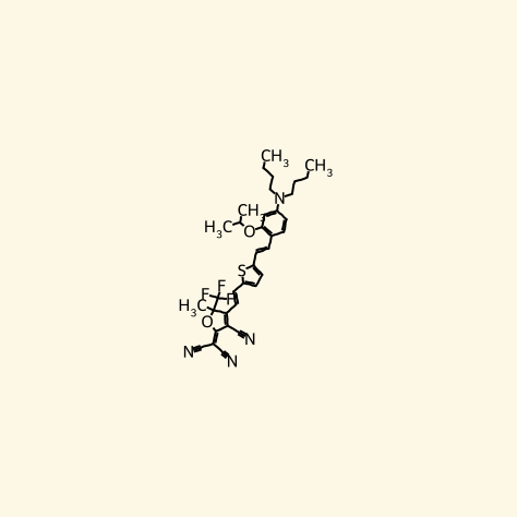 CCCCN(CCCC)c1ccc(/C=C/c2ccc(/C=C/C3=C(C#N)C(=C(C#N)C#N)OC3(C)C(F)(F)F)s2)c(OC(C)C)c1